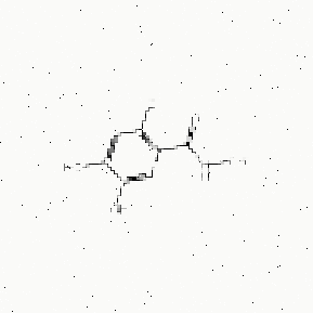 CCCNC(=O)c1cc(O)c(O)cc1Cl